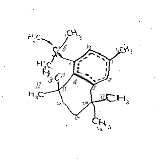 Cc1cc2c(c([Si](C)(C)C)c1)C(C)(C)CCC2(C)C